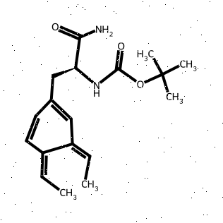 C/C=c1/ccc(C[C@H](NC(=O)OC(C)(C)C)C(N)=O)c/c1=C/C